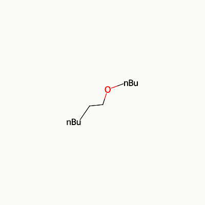 [CH2]CCCCCOCCC[CH2]